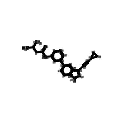 CC(C)CC(=O)Nc1cncc(-c2ccc3[nH]nc(C#CC4CC4)c3c2)c1